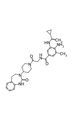 C=C(Nc1cc(C(=O)NCC(=O)N2CCC(N3CCc4ccccc4NC3=O)CC2)cc(C)c1N)C1CC1